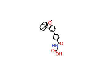 COc1ccc(-c2ccc(C(=O)NCC(=O)O)cc2)cc1C12CC3CC(CC(C3)C1)C2